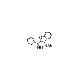 CNC1c2ccccc2OC1C(=N)c1ccccc1